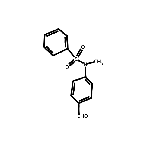 CN(c1ccc(C=O)cc1)S(=O)(=O)c1ccccc1